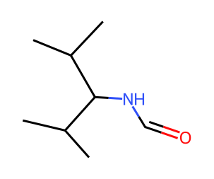 CC(C)C(NC=O)C(C)C